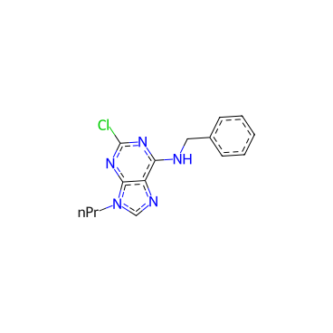 CCCn1cnc2c(NCc3ccccc3)nc(Cl)nc21